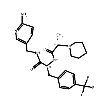 C[C@@H](C(=O)N[C@@H](Cc1ccc(C(F)(F)F)cc1)C(=O)NCc1ccc(N)nc1)N1CCCCC1